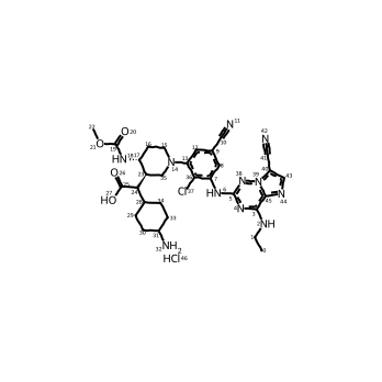 CCNc1nc(Nc2cc(C#N)cc(N3CC[C@@H](NC(=O)OC)[C@H](C(C(=O)O)C4CCC(N)CC4)C3)c2Cl)nn2c(C#N)cnc12.Cl